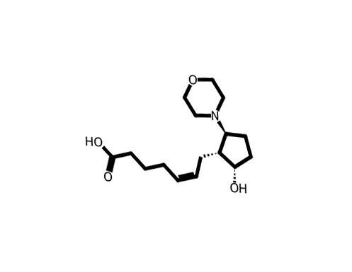 O=C(O)CCC/C=C\C[C@H]1[C@@H](O)CC[C@@H]1N1CCOCC1